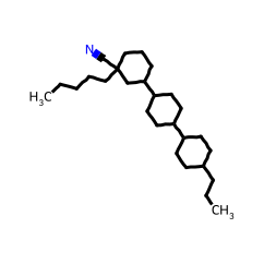 CCCCCC1(C#N)CCCC(C2CCC(C3CCC(CCC)CC3)CC2)C1